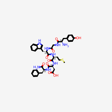 CSCC[C@H](NC(=O)[C@H](Cc1c[nH]c2ccccc12)NC(=O)CNC(=O)[C@@H](N)Cc1ccc(O)cc1)C(=O)N[C@@H](CC(=O)O)C(=O)N[C@@H](Cc1ccccc1)C(N)=O